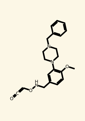 COc1ccc(CNOC=C=O)cc1N1CCN(Cc2ccccc2)CC1